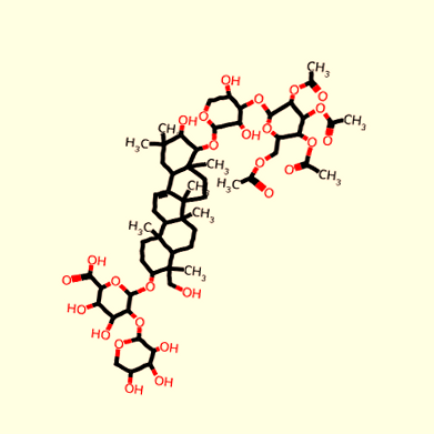 CC(=O)OCC1OC(OC2C(O)COC(OC3C(O)C(C)(C)CC4C5=CCC6C7(C)CCC(OC8OC(C(=O)O)C(O)C(O)C8OC8OCC(O)C(O)C8O)C(C)(CO)C7CCC6(C)C5(C)CCC43C)C2O)C(OC(C)=O)C(OC(C)=O)C1OC(C)=O